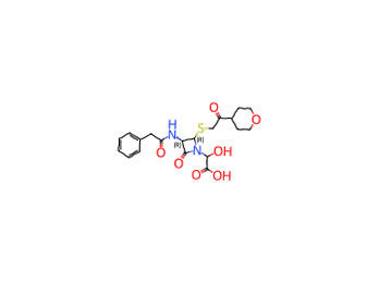 O=C(Cc1ccccc1)N[C@@H]1C(=O)N(C(O)C(=O)O)[C@@H]1SCC(=O)C1CCOCC1